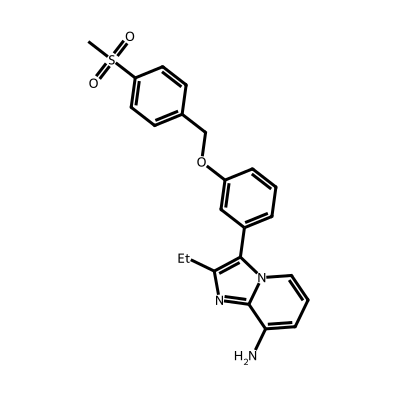 CCc1nc2c(N)cccn2c1-c1cccc(OCc2ccc(S(C)(=O)=O)cc2)c1